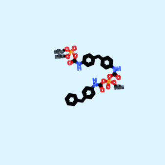 CCCCOP(=O)(OCCCC)OC(=O)Nc1ccc(Cc2ccc(NC(=O)OP(=O)(OCCCC)OC(=O)Nc3ccc(Cc4ccccc4)cc3)cc2)cc1